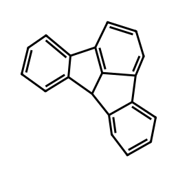 c1ccc2c(c1)-c1cccc3c1C2c1ccccc1-3